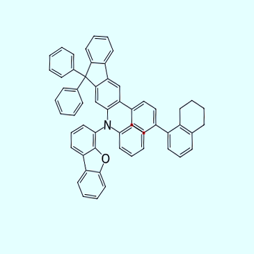 c1ccc(N(c2cc3c(cc2-c2ccc(-c4cccc5c4CCCC5)cc2)-c2ccccc2C3(c2ccccc2)c2ccccc2)c2cccc3c2oc2ccccc23)cc1